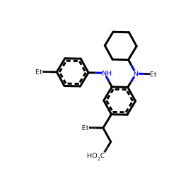 CCc1ccc(Nc2cc(C(CC)CC(=O)O)ccc2N(CC)C2CCCCC2)cc1